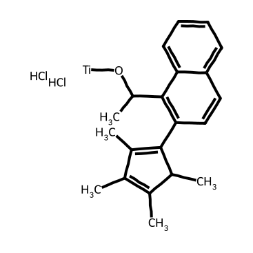 CC1=C(C)C(C)C(c2ccc3ccccc3c2C(C)[O][Ti])=C1C.Cl.Cl